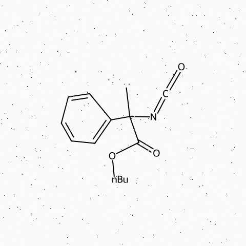 CCCCOC(=O)C(C)(N=C=O)c1ccccc1